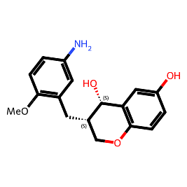 COc1ccc(N)cc1C[C@H]1COc2ccc(O)cc2[C@H]1O